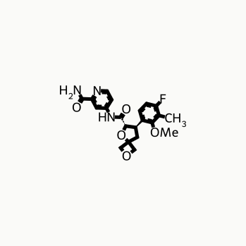 COc1c([C@H]2CC3(COC3)O[C@@H]2C(=O)Nc2ccnc(C(N)=O)c2)ccc(F)c1C